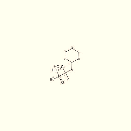 CCP(=O)(O)C(C)(CC1CCCCC1)C(=O)O